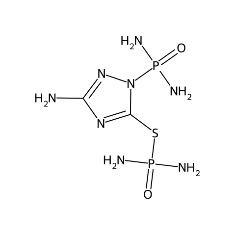 Nc1nc(SP(N)(N)=O)n(P(N)(N)=O)n1